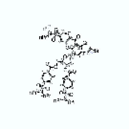 CCCN(CCC)S(=O)(=O)c1ccc(C(=O)OC[C@H]2O[C@@H](n3cc(/C=C/Br)c(=O)n(C(=O)c4ccc(S(=O)(=O)N(CCC)CCC)cc4)c3=O)C[C@@H]2OC(=O)c2ccc(S(=O)(=O)N(CCC)CCC)cc2)cc1